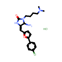 CN(C)CCCCN1C(=O)NC(=Cc2ccc(-c3ccc(Cl)cc3)o2)C1N.Cl